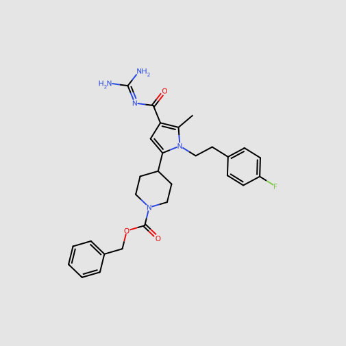 Cc1c(C(=O)N=C(N)N)cc(C2CCN(C(=O)OCc3ccccc3)CC2)n1CCc1ccc(F)cc1